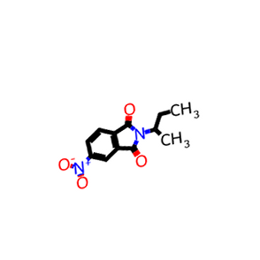 CCC(C)N1C(=O)c2ccc([N+](=O)[O-])cc2C1=O